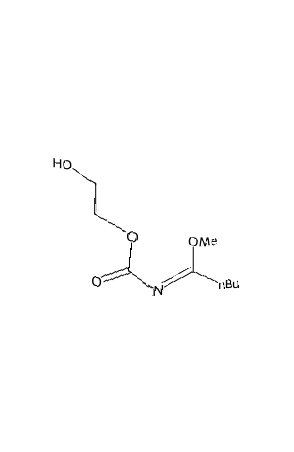 CCCCC(=NC(=O)OCCO)OC